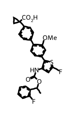 COc1cc(-c2sc(F)cc2NC(=O)OC(C)c2ccccc2F)ccc1-c1ccc(C2(C(=O)O)CC2)cc1